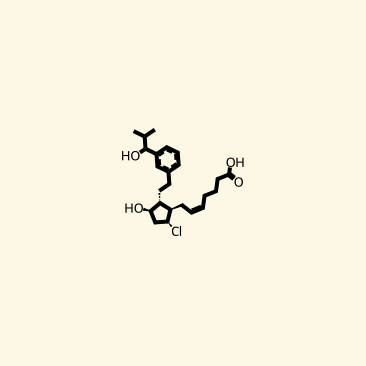 CC(C)C(O)c1cccc(CC[C@@H]2[C@@H](C/C=C\CCCC(=O)O)[C@H](Cl)C[C@H]2O)c1